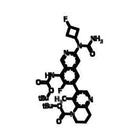 Cc1c(-c2cc3cc(N(C(N)=O)C4CC(F)C4)ncc3c(NC(=O)OC(C)(C)C)c2F)cnc2c1N(C(=O)OC(C)(C)C)CCC2